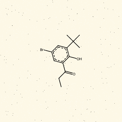 CCC(=O)c1cc(Br)cc(C(C)(C)C)c1O